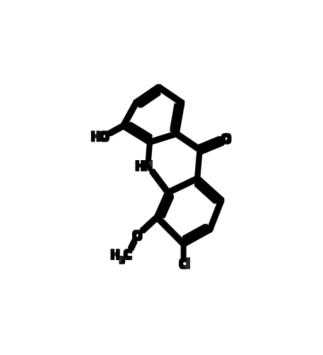 COc1c(Cl)ccc2c(=O)c3cccc(O)c3[nH]c12